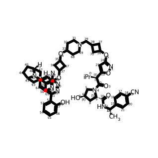 CC(C)[C@H](C(=O)N1C[C@H](O)C[C@H]1C(=O)N[C@@H](C)c1ccc(C#N)cc1)c1cc(OC2CC(CN3CCC(OC4CC(Oc5cc(N6C7CC[C@@H]6CN(c6cc(-c8ccccc8O)nnc6N)C7)ccn5)C4)CC3)C2)no1